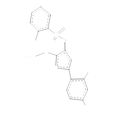 Cc1ccccc1S(=O)(=O)Nc1cc(-c2ccc(Cl)cc2Cl)sc1OC(=O)O